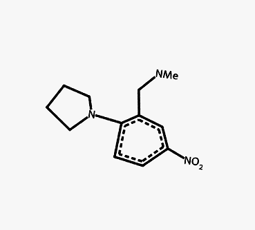 CNCc1cc([N+](=O)[O-])ccc1N1CCCC1